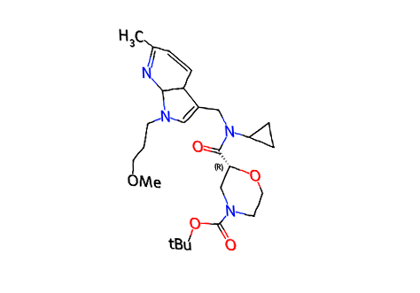 COCCCN1C=C(CN(C(=O)[C@H]2CN(C(=O)OC(C)(C)C)CCO2)C2CC2)C2C=CC(C)=NC21